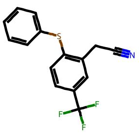 N#CCc1cc(C(F)(F)F)ccc1Sc1ccccc1